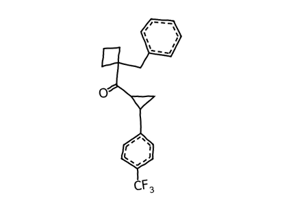 O=C(C1CC1c1ccc(C(F)(F)F)cc1)C1(Cc2ccccc2)CCC1